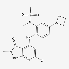 CN(c1cc(C2CCC2)ccc1Nc1cc(Cl)nc2[nH]n(C)c(=O)c12)S(C)(=O)=O